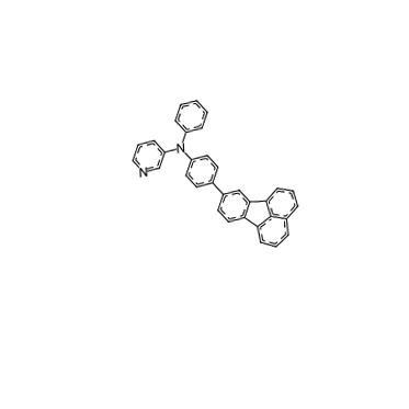 c1ccc(N(c2ccc(-c3ccc4c(c3)-c3cccc5cccc-4c35)cc2)c2cccnc2)cc1